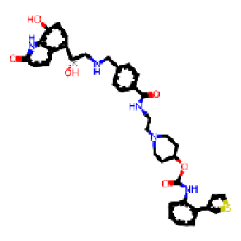 O=C(Nc1ccccc1-c1ccsc1)OC1CCN(CCNC(=O)c2ccc(CNC[C@H](O)c3ccc(O)c4[nH]c(=O)ccc34)cc2)CC1